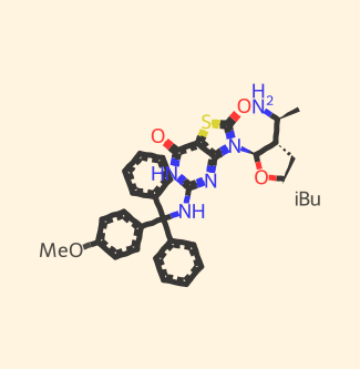 CC[C@H](C)[C@@H]1C[C@@H]([C@H](C)N)[C@H](n2c(=O)sc3c(=O)[nH]c(NC(c4ccccc4)(c4ccccc4)c4ccc(OC)cc4)nc32)O1